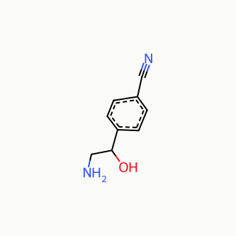 N#Cc1ccc(C(O)CN)cc1